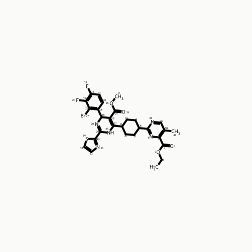 CCOC(=O)c1nc(C2CCC(C3=C(C(=O)OC)C(c4ccc(F)c(F)c4Br)N=C(c4nccs4)N3)CC2)ncc1C